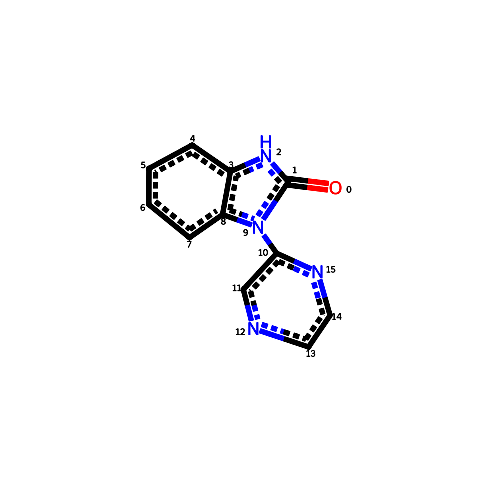 O=c1[nH]c2ccccc2n1-c1cnccn1